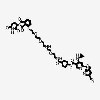 N#Cc1cnc2c(cnn2-c2cc(NC3CC3)c(C(=O)NC3CCC(C(=O)NCCOCCNCCOCCOCCNc4cccc5c4C(=O)N(C4CCC(=O)NC4=O)C5=O)CC3)cn2)c1